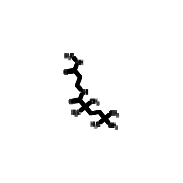 CNC(=O)CCNC(=O)C(C)(C)CCC(C)(C)C